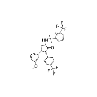 COc1cccc(C2CC(NC(C)(C)c3cccc(C(F)(F)F)n3)C(=O)N2c2ccc(C(F)(F)F)cc2)c1